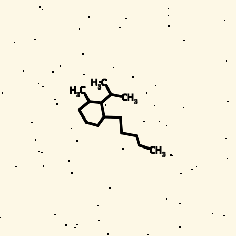 CCCCCC1CCCC(C)C1C(C)C